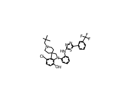 CC(C)(C)CN1CCC2(CC1)CN(c1ccccc1Nc1nnc(-c3cccc(C(F)(F)F)c3)s1)c1c(O)ccc(Cl)c12